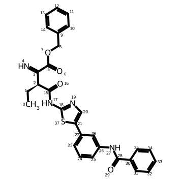 CC[C@@H](C(=N)C(=O)OCc1ccccc1)C(=O)Nc1ncc(-c2cccc(NC(=O)c3ccccc3)c2)s1